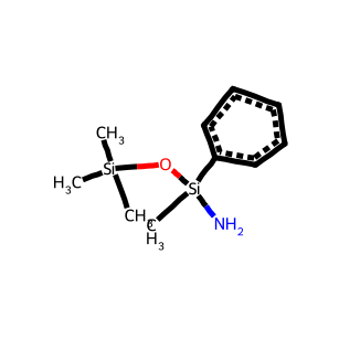 C[Si](C)(C)O[Si](C)(N)c1ccccc1